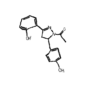 CC(=O)N1N=C(c2ccccc2O)CC1c1ccc(O)cc1